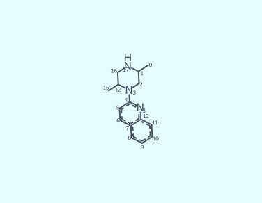 CC1CN(c2ccc3ccccc3n2)C(C)CN1